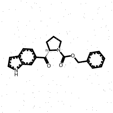 O=C(c1ccc2cc[nH]c2c1)[C@@H]1CCCN1C(=O)OCc1ccccc1